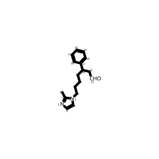 Cc1nccn1CCCC[C](CC=O)c1ccccc1